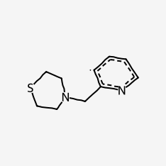 [c]1cccnc1CN1CCSCC1